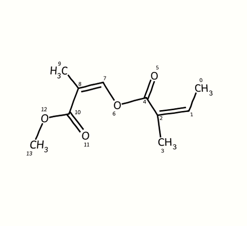 CC=C(C)C(=O)OC=C(C)C(=O)OC